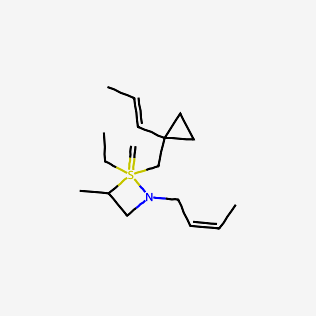 C=S1(CC)(CC2(C=CC)CC2)C(C)CN1C/C=C\C